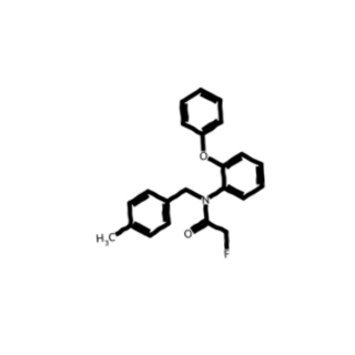 Cc1ccc(CN(C(=O)CF)c2ccccc2Oc2ccccc2)cc1